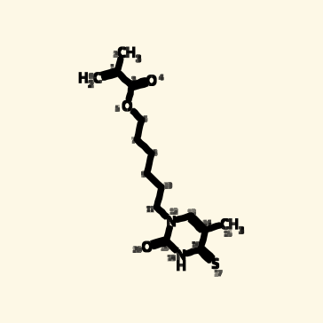 C=C(C)C(=O)OCCCCCCn1cc(C)c(=S)[nH]c1=O